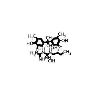 CCCCNC(=N)NC(=N)N.Cc1cc(C(C)(C)c2cc(C)c(O)c(C)c2)cc(C)c1O.Cl